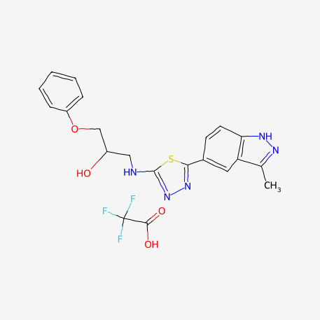 Cc1n[nH]c2ccc(-c3nnc(NCC(O)COc4ccccc4)s3)cc12.O=C(O)C(F)(F)F